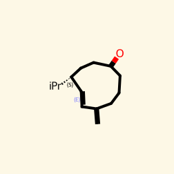 C=C1/C=C/[C@H](C(C)C)CCC(=O)CCC1